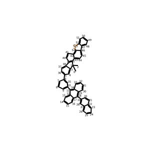 CC1(C)c2cc(-c3cccc(-c4c5ccccc5c(-c5ccc6ccccc6c5)c5ccccc45)c3)ccc2-c2ccc3c(ccc4c5ccccc5sc34)c21